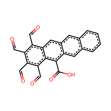 O=Cc1c(C=O)c(C=O)c2c(C(=O)O)c3cc4ccccc4cc3cc2c1C=O